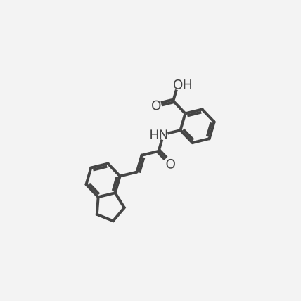 O=C(C=Cc1cccc2c1CCC2)Nc1ccccc1C(=O)O